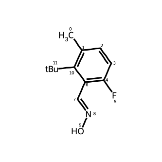 Cc1ccc(F)c(/C=N/O)c1C(C)(C)C